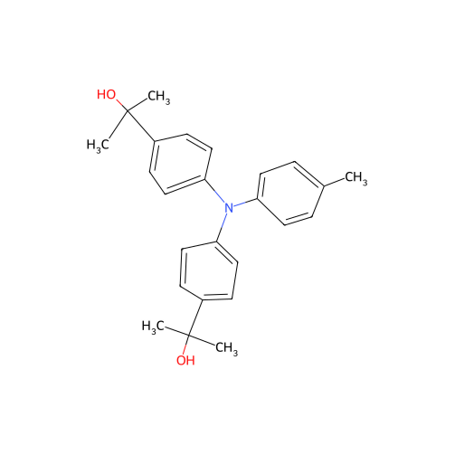 Cc1ccc(N(c2ccc(C(C)(C)O)cc2)c2ccc(C(C)(C)O)cc2)cc1